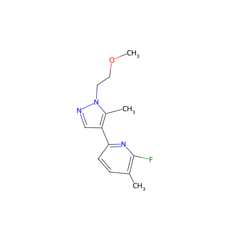 COCCn1ncc(-c2ccc(C)c(F)n2)c1C